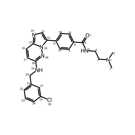 CN(C)CCNC(=O)c1ccc(-c2cnc3ccc(NCc4cccc(Cl)c4)nn23)cc1